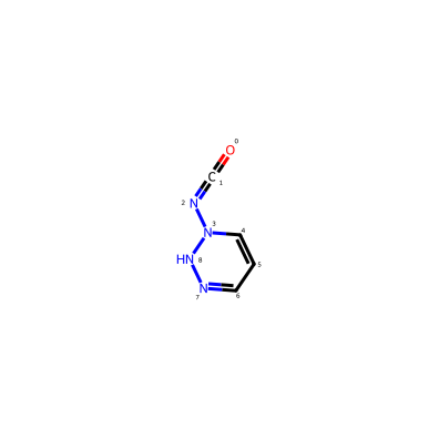 O=C=NN1C=CC=NN1